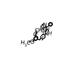 CCOc1cc(CN2CCC(Nc3nc(-c4ccccc4)c4nccnc4n3)CC2)cc(OCC)c1